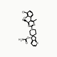 Cc1nc(N2CCC3(CC2)Cc2ncccc2[C@H]3OC(N)=O)nc(C#N)c1-c1cccc(Cl)c1Cl